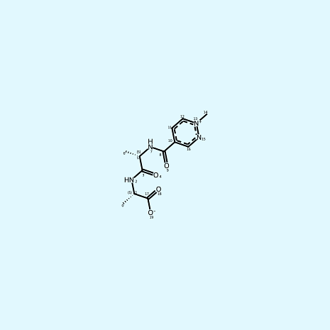 C[C@H](NC(=O)[C@H](C)NC(=O)c1cc[n+](C)nc1)C(=O)[O-]